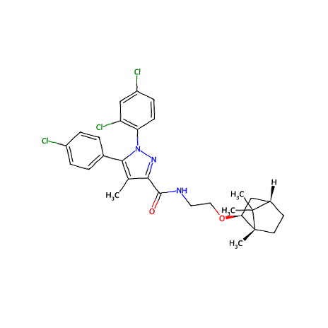 Cc1c(C(=O)NCCO[C@H]2C[C@@H]3CC[C@@]2(C)C3(C)C)nn(-c2ccc(Cl)cc2Cl)c1-c1ccc(Cl)cc1